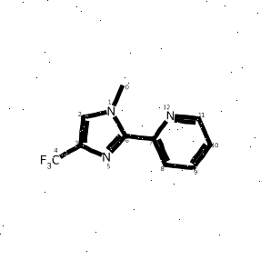 Cn1cc(C(F)(F)F)nc1-c1ccccn1